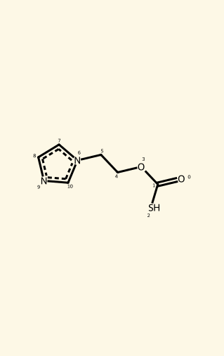 O=C(S)OCCn1ccnc1